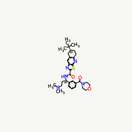 CN(C)CC[C@@H](NC(=O)c1nc2cc3c(nc2s1)CC[C@H](C(C)(C)C)C3)c1cccc(C(=O)N2CCOCC2)c1